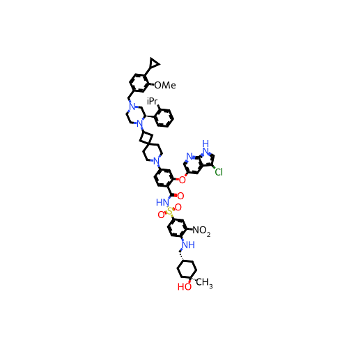 COc1cc(CN2CCN(C3CC4(CCN(c5ccc(C(=O)NS(=O)(=O)c6ccc(NC[C@H]7CC[C@](C)(O)CC7)c([N+](=O)[O-])c6)c(Oc6cnc7[nH]cc(Cl)c7c6)c5)CC4)C3)[C@H](c3ccccc3C(C)C)C2)ccc1C1CC1